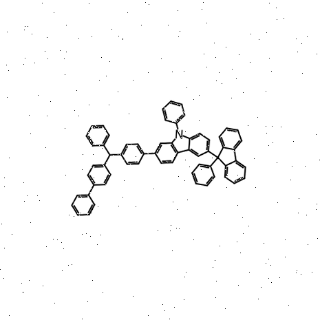 c1ccc(-c2ccc(C(c3ccccc3)c3ccc(-c4ccc5c6cc(C7(c8ccccc8)c8ccccc8-c8ccccc87)ccc6n(-c6ccccc6)c5c4)cc3)cc2)cc1